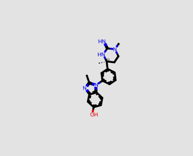 Cc1nc2cc(O)ccc2n1-c1cccc([C@]2(C)CCN(C)C(=N)N2)c1